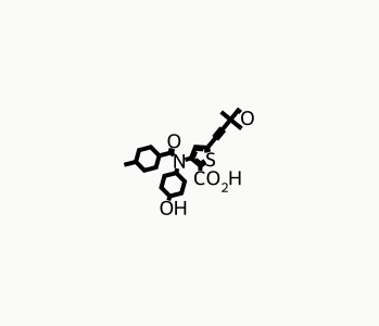 CC1CCC(C(=O)N(c2cc(C#CC3(C)COC3)sc2C(=O)O)C2CCC(O)CC2)CC1